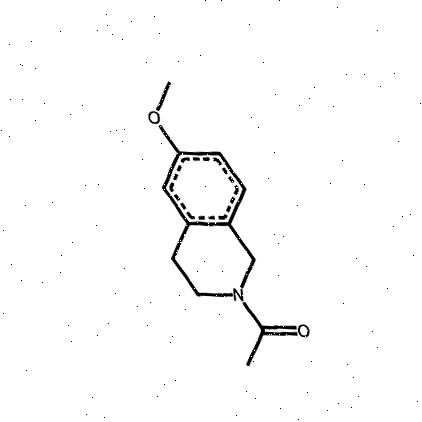 COc1ccc2c(c1)CCN(C(C)=O)C2